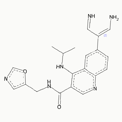 CC(C)Nc1c(C(=O)NCc2cnco2)cnc2ccc(/C(C=N)=C/N)cc12